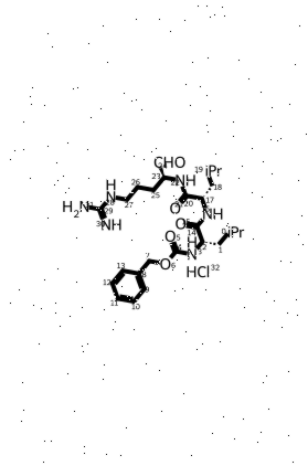 CC(C)C[C@H](NC(=O)OCc1ccccc1)C(=O)N[C@@H](CC(C)C)C(=O)N[C@H](C=O)CCCNC(=N)N.Cl